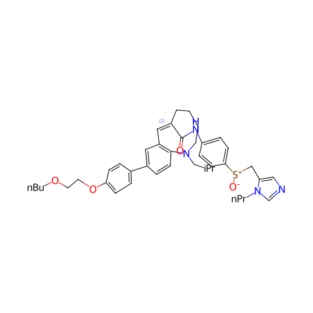 CCCCOCCOc1ccc(-c2ccc3c(c2)/C=C(\C(=O)Nc2ccc([S+]([O-])Cc4cncn4CCC)cc2)CCCCN3CC(C)C)cc1